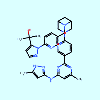 Cc1cc(Nc2cc(C)[nH]n2)nc(-c2ccc(N3CC4CC(C3)N4Cc3ccc(-n4nccc4C(C)(C)O)nc3)nc2)n1